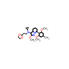 COc1cc(C)cc(OC)c1-c1cccc2c(N(CCC3OCCO3)C3CC3)c(OC)nn12